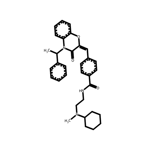 CC(c1ccccc1)N1C(=O)C(=Cc2ccc(C(=O)NCCN(C)C3CCCCC3)cc2)Oc2ccccc21